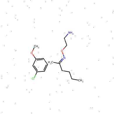 CCCCC(C)=NOCCN.COc1cccc(Cl)c1